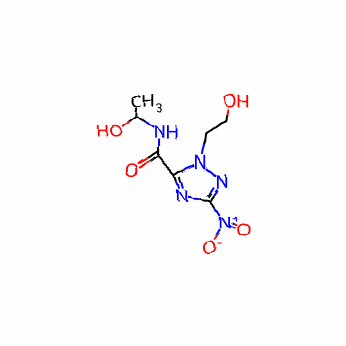 CC(O)NC(=O)c1nc([N+](=O)[O-])nn1CCO